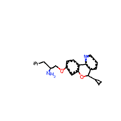 CC(C)C[C@H](N)COc1ccc2c(c1)OC(C1CC1)c1cccnc1-2